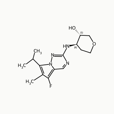 Cc1c(F)c2cnc(N[C@@H]3CCOC[C@H]3O)nn2c1C(C)C